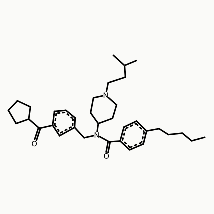 CCCCCc1ccc(C(=O)N(Cc2cccc(C(=O)C3CCCC3)c2)C2CCN(CCC(C)C)CC2)cc1